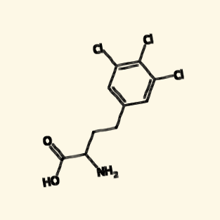 NC(CCc1cc(Cl)c(Cl)c(Cl)c1)C(=O)O